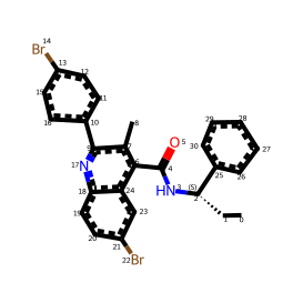 CC[C@H](NC(=O)c1c(C)c(-c2ccc(Br)cc2)nc2ccc(Br)cc12)c1ccccc1